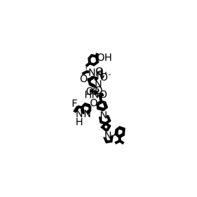 CC(C)c1ccccc1[C@H]1CCCN1C1CC2(CCN(c3ccc(C(=O)NS(=O)(=O)c4cc5c(c([N+](=O)[O-])n4)N[C@@H](CC4CCC(C)(O)CC4)CO5)c(Oc4cnc5[nH]cc(F)c5c4)c3)CC2)C1